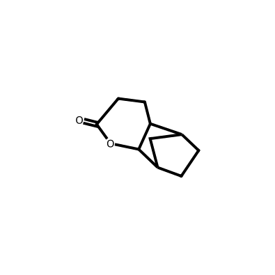 O=C1CCC2C3CCC(C3)C2O1